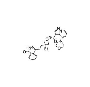 CC[C@]1(CCc2n[nH]c(=O)c3ccccc23)C[C@H](NC(=O)c2cnn3cccc(N4CCOCC4)c23)C1